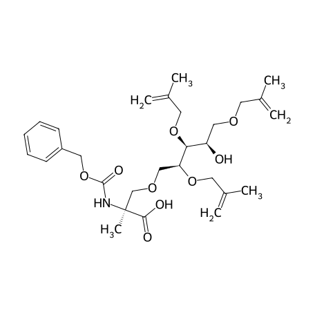 C=C(C)COC[C@@H](O)[C@H](OCC(=C)C)[C@H](COC[C@](C)(NC(=O)OCc1ccccc1)C(=O)O)OCC(=C)C